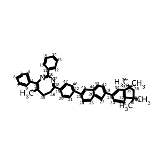 C/C1=C(c2ccccc2)/N=C(c2ccccc2)\N=C(\c2ccc(-c3ccc4cc(-c5ccc6c(c5)C(C)(C)CC6(C)C)ccc4c3)cc2)CC1